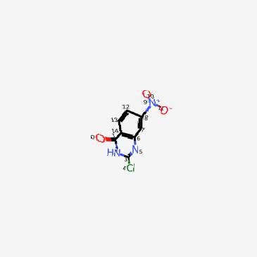 O=c1[nH]c(Cl)nc2cc([N+](=O)[O-])ccc12